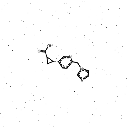 O=C(O)[C@@H]1C[C@H]1c1ccc(Cn2ccnc2)nc1